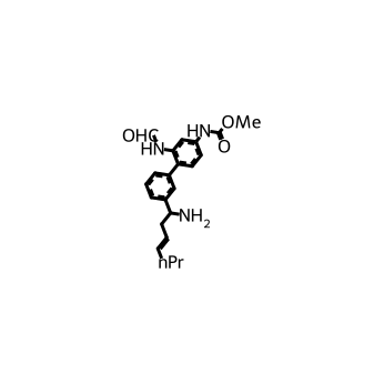 CCC/C=C/CC(N)c1cccc(-c2ccc(NC(=O)OC)cc2NC=O)c1